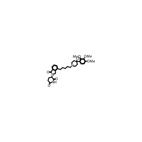 COc1ccc(C2(C#N)CCN(CCCCCc3cccc4c3CN(C3CCC(=O)NC3=O)C4=O)CC2)c(OC)c1OC